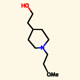 COCCN1CCC(CCO)CC1